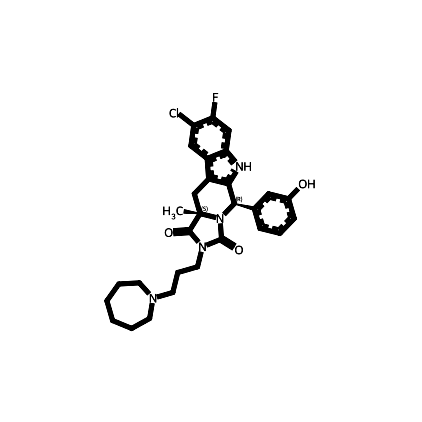 C[C@@]12Cc3c([nH]c4cc(F)c(Cl)cc34)[C@@H](c3cccc(O)c3)N1C(=O)N(CCCN1CCCCCC1)C2=O